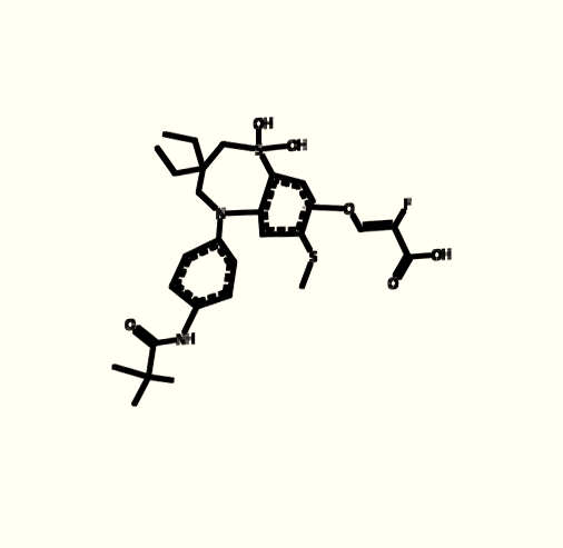 CCC1(CC)CN(c2ccc(NC(=O)C(C)(C)C)cc2)c2cc(SC)c(OC=C(F)C(=O)O)cc2S(O)(O)C1